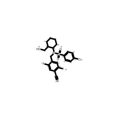 N#Cc1cc(F)c(CN(C2CCCCC2CO)S(=O)(=O)c2ccc(Cl)cc2)cc1F